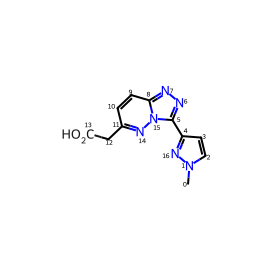 Cn1ccc(-c2nnc3ccc(CC(=O)O)nn23)n1